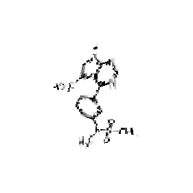 CN(c1cccc(-c2ncnc3[nH]cc(C(=O)O)c23)c1)S(C)(=O)=O